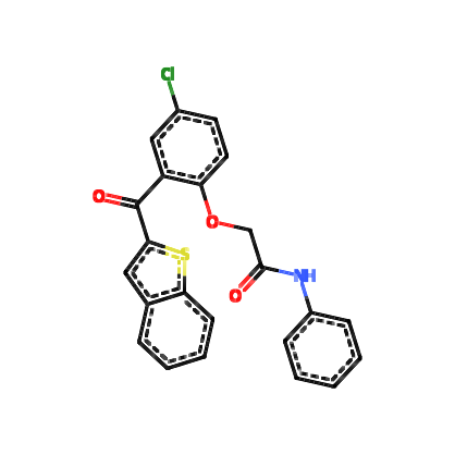 O=C(COc1ccc(Cl)cc1C(=O)c1cc2ccccc2s1)Nc1ccccc1